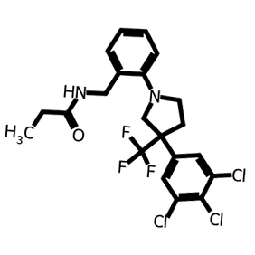 CCC(=O)NCc1ccccc1N1CCC(c2cc(Cl)c(Cl)c(Cl)c2)(C(F)(F)F)C1